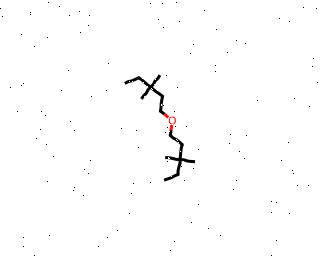 CCC(C)(C)CCOCCC(C)(C)CC